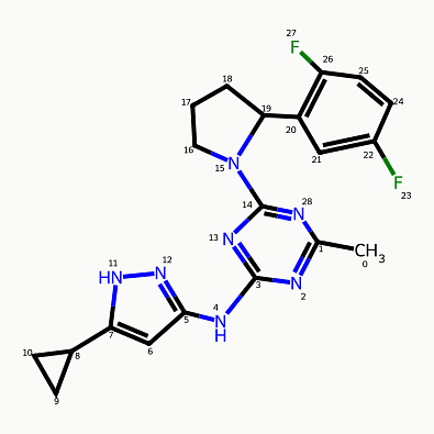 Cc1nc(Nc2cc(C3CC3)[nH]n2)nc(N2CCCC2c2cc(F)ccc2F)n1